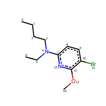 CCCCN(CC)c1ccc(Br)c(OC)n1